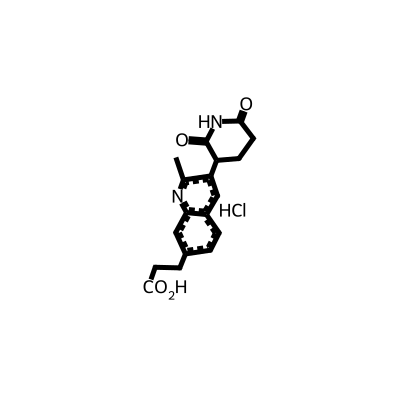 Cc1nc2cc(CCC(=O)O)ccc2cc1C1CCC(=O)NC1=O.Cl